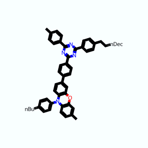 CCCCCCCCCCCCc1ccc(-c2nc(-c3ccc(C)cc3)nc(-c3ccc(-c4ccc5c(c4)Oc4cc(C)ccc4N5c4ccc(CCCC)cc4)cc3)n2)cc1